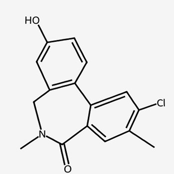 Cc1cc2c(cc1Cl)-c1ccc(O)cc1CN(C)C2=O